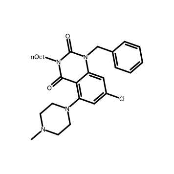 CCCCCCCCn1c(=O)c2c(N3CCN(C)CC3)cc(Cl)cc2n(Cc2ccccc2)c1=O